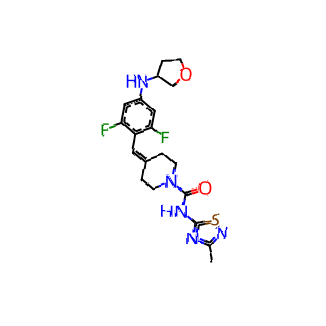 Cc1nsc(NC(=O)N2CCC(=Cc3c(F)cc(NC4CCOC4)cc3F)CC2)n1